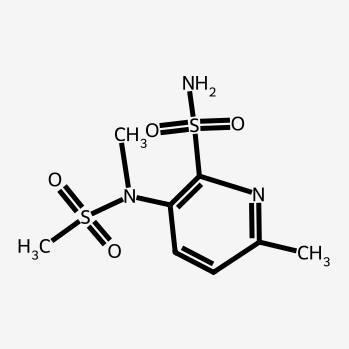 Cc1ccc(N(C)S(C)(=O)=O)c(S(N)(=O)=O)n1